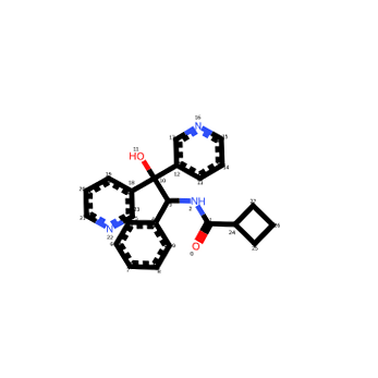 O=C(NC(c1ccccc1)C(O)(c1cccnc1)c1cccnc1)C1CCC1